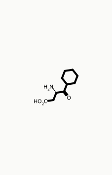 N[C@@H](CC(=O)O)C(=O)[C]1CCCCC1